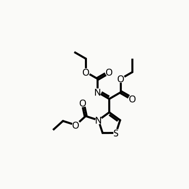 CCOC(=O)N=C(C(=O)OCC)C1=CSCN1C(=O)OCC